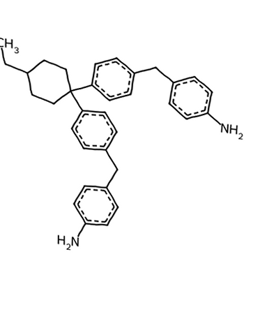 CCC1CCC(c2ccc(Cc3ccc(N)cc3)cc2)(c2ccc(Cc3ccc(N)cc3)cc2)CC1